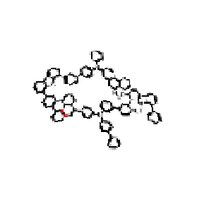 CC1C=CC(c2cccc(N(c3ccc(C4=CC=CC5C(c6cc(-c7cccc8c7sc7c(-c9cccc(-c%10ccc(N(c%11ccccc%11)c%11ccc%12c%13c(ccc%12c%11)C=CCC%13)cc%10)c9)cccc78)ccc6-c6ccccc6)=CC=CC45)cc3)c3ccc(-c4ccccc4)cc3)c2)=CC1C1c2sc3c(-c4ccccc4)cccc3c2C=CC1C